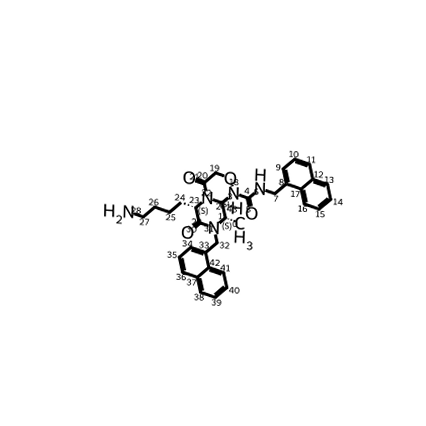 C[C@H]1[C@@H]2N(C(=O)NCc3cccc4ccccc34)OCC(=O)N2[C@@H](CCCCN)C(=O)N1Cc1cccc2ccccc12